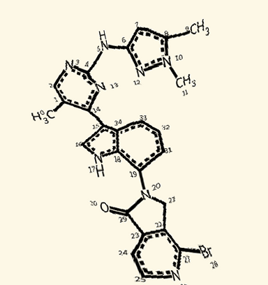 Cc1cnc(Nc2cc(C)n(C)n2)nc1-c1c[nH]c2c(N3Cc4c(ccnc4Br)C3=O)cccc12